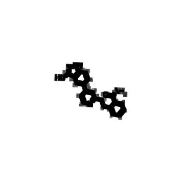 NC(=O)c1ccccc1C[CH]c1cc(-c2ccc3[nH]nc(O)c3c2)ccn1